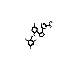 O=C(O)c1cncc(C2=C(c3cc(F)ccc3OCc3c(F)cc(F)cc3F)CCC2)n1